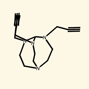 C#CCN1CCN2CCN(CC#C)C1N(CC#C)CC2